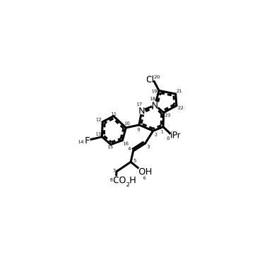 CC(C)c1c(C=CC(O)CC(=O)O)c(-c2ccc(F)cc2)nn2c(Cl)ccc12